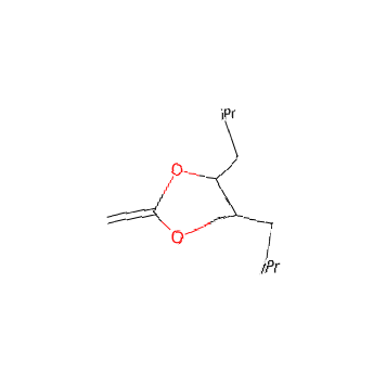 C=C1OC(CC(C)C)C(CC(C)C)O1